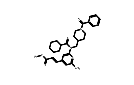 Cc1cc(/C=C/C(=O)OC(C)C)cc(N(CC2CCN(C(=O)c3ccccc3)CC2)C(=O)C2CCCCC2)n1